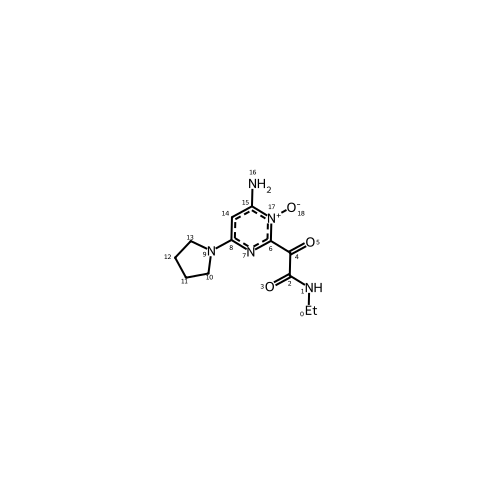 CCNC(=O)C(=O)c1nc(N2CCCC2)cc(N)[n+]1[O-]